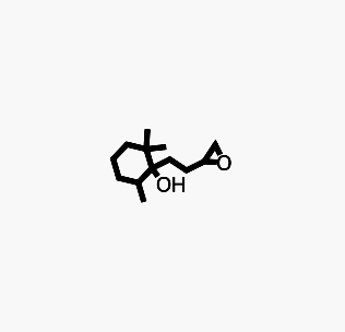 CC1CCCC(C)(C)C1(O)CCC1CO1